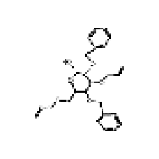 C=CCOC[C@H]1O[C@H](O)[C@H](OCc2ccccc2)[C@@H](OCC=C)[C@H]1OCc1ccccc1